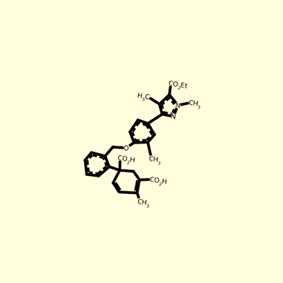 CCOC(=O)c1c(C)c(-c2ccc(OCc3ccccc3C3(C(=O)O)C=CC(C)=C(C(=O)O)C3)c(C)c2)nn1C